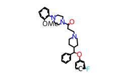 COc1ccccc1N1CCN(C(=O)CCN2CCC(C(Oc3cccc(F)c3)c3ccccc3)CC2)CC1